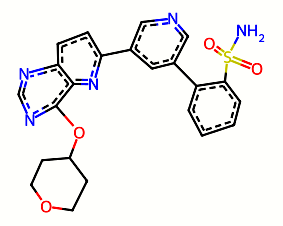 NS(=O)(=O)c1ccccc1-c1cncc(-c2ccc3ncnc(OC4CCOCC4)c3n2)c1